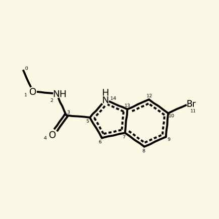 CONC(=O)c1cc2ccc(Br)cc2[nH]1